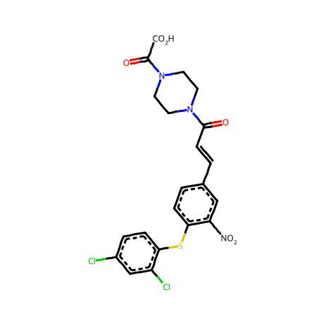 O=C(O)C(=O)N1CCN(C(=O)C=Cc2ccc(Sc3ccc(Cl)cc3Cl)c([N+](=O)[O-])c2)CC1